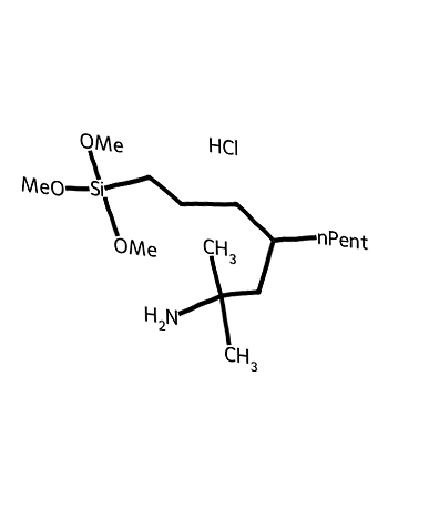 CCCCCC(CCC[Si](OC)(OC)OC)CC(C)(C)N.Cl